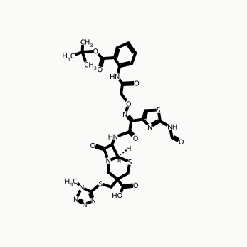 Cn1nnnc1SCC1(C(=O)O)CS[C@@H]2C(NC(=O)C(=NOCC(=O)Nc3ccccc3C(=O)OC(C)(C)C)c3csc(NC=O)n3)C(=O)N2C1